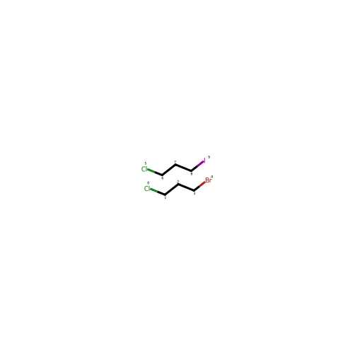 ClCCCBr.ClCCCI